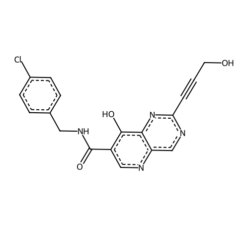 O=C(NCc1ccc(Cl)cc1)c1cnc2cnc(C#CCO)nc2c1O